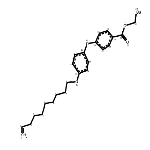 C=CCCCCCCCCOc1ccc(Oc2ccc(C(=O)OCC(C)CC)cc2)cc1